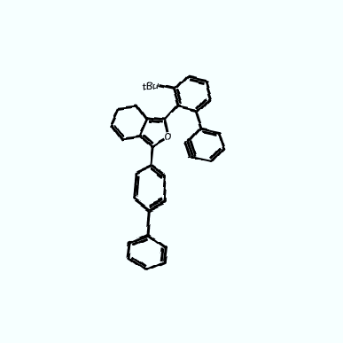 CC(C)(C)c1cccc(-c2c#cccc2)c1-c1oc(-c2ccc(-c3ccccc3)cc2)c2c1CCC=C2